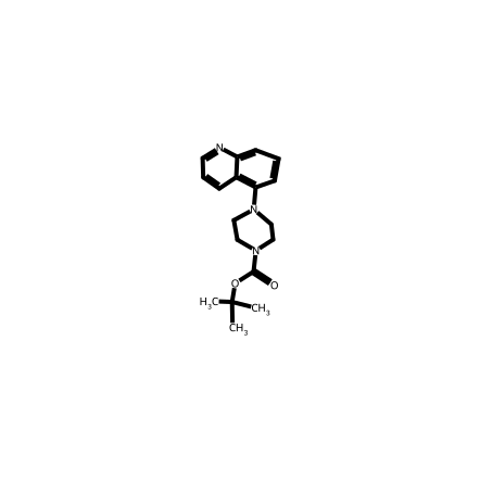 CC(C)(C)OC(=O)N1CCN(c2cccc3ncccc23)CC1